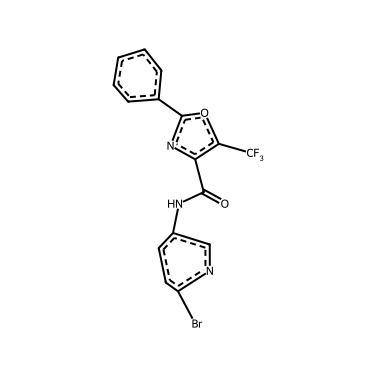 O=C(Nc1ccc(Br)nc1)c1nc(-c2ccccc2)oc1C(F)(F)F